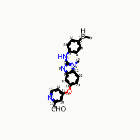 CBc1ccc(Nc2nc3cc(Oc4ccnc(C=O)c4)ccc3n2C)cc1